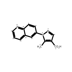 Cc1c(C(=O)O)cnn1-c1ccc2ncccc2c1